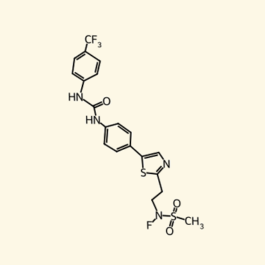 CS(=O)(=O)N(F)CCc1ncc(-c2ccc(NC(=O)Nc3ccc(C(F)(F)F)cc3)cc2)s1